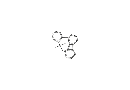 CC(C)(C)c1ccccc1-c1cccc2c1=c1ccccc1=2